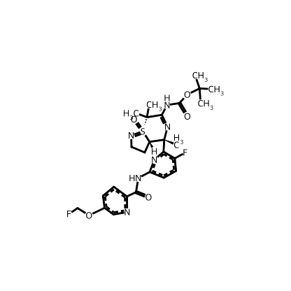 CC(C)(C)OC(=O)NC1=N[C@](C)(c2nc(NC(=O)c3ccc(OCF)cn3)ccc2F)[C@@H]2CCN=[S@]2(=O)C1(C)C